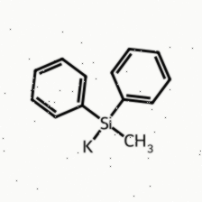 C[Si]([K])(c1ccccc1)c1ccccc1